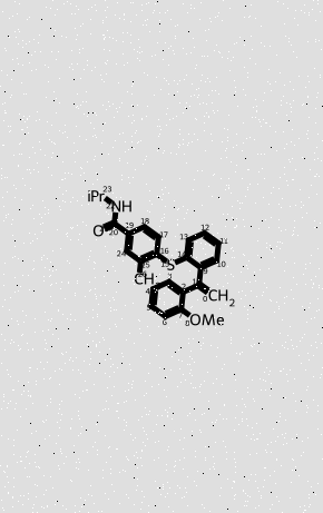 C=C(c1ccccc1OC)c1ccccc1Sc1ccc(C(=O)NC(C)C)cc1C